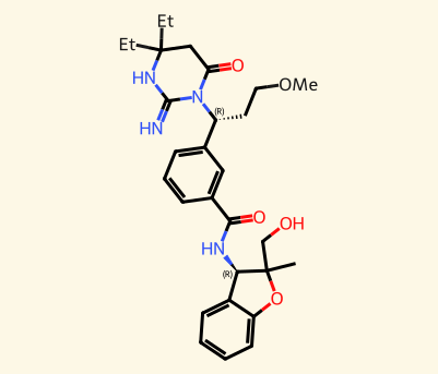 CCC1(CC)CC(=O)N([C@H](CCOC)c2cccc(C(=O)N[C@@H]3c4ccccc4OC3(C)CO)c2)C(=N)N1